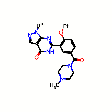 CCCn1ncc2c(=O)[nH]c(-c3cc(C(=O)N4CCN(C)CC4)ccc3OCC)nc21